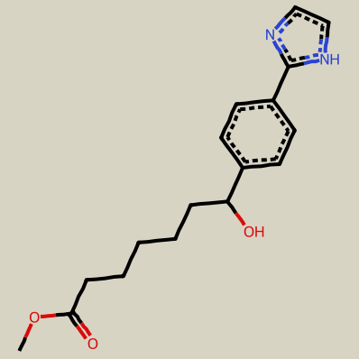 COC(=O)CCCCCC(O)c1ccc(-c2ncc[nH]2)cc1